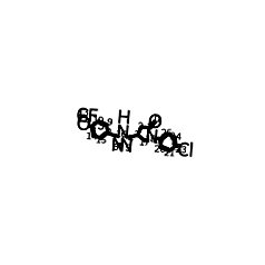 O=C1CC(c2nnc(-c3ccc(OC(F)(F)F)cc3)[nH]2)CN1c1ccc(Cl)cc1